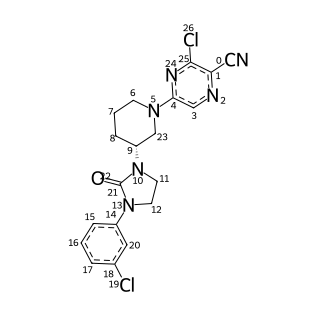 N#Cc1ncc(N2CCC[C@@H](N3CCN(c4cccc(Cl)c4)C3=O)C2)nc1Cl